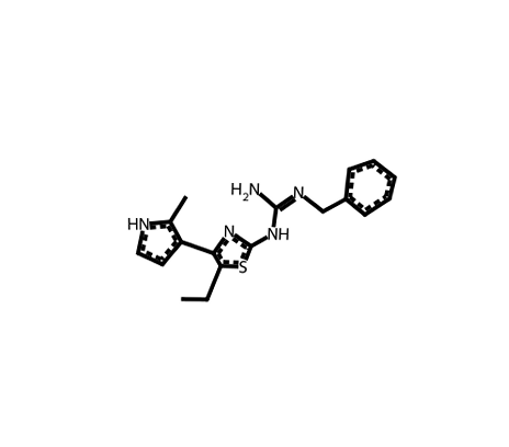 CCc1sc(NC(N)=NCc2ccccc2)nc1-c1cc[nH]c1C